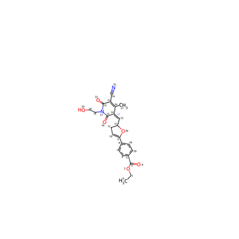 CCOC(=O)c1ccc(C2=CCC(/C=C3\C(=O)N(CCO)C(=O)C(C#N)=C3C)O2)cc1